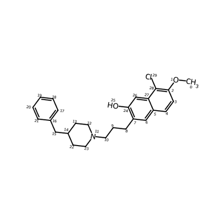 COc1ccc2cc(CCCN3CCC(Cc4ccccc4)CC3)c(O)cc2c1Cl